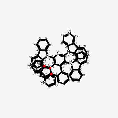 c1cncc(-c2ccccc2-c2c(-n3c4ccccc4c4ccccc43)c(-n3c4ccccc4c4cnccc43)nc(-n3c4ccccc4c4cnccc43)c2-n2c3ccccc3c3ncccc32)c1